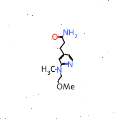 COCCN(C)c1cc([CH]CC(N)=O)ccn1